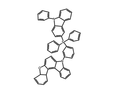 C1=CC2Oc3ccc4c(c3C2C=C1)c1ccccc1n4-c1cccc([Si](c2ccccc2)(c2ccccc2)c2ccc3c(c2)c2ccccc2n3-c2ccccc2)c1